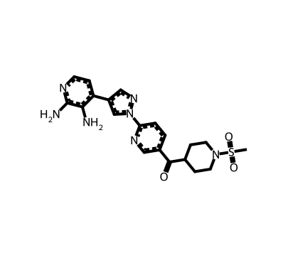 CS(=O)(=O)N1CCC(C(=O)c2ccc(-n3cc(-c4ccnc(N)c4N)cn3)nc2)CC1